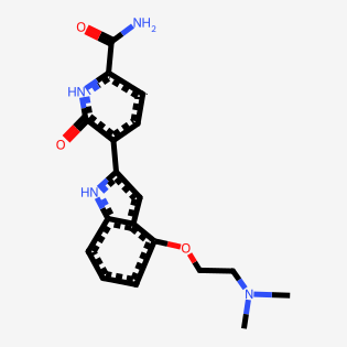 CN(C)CCOc1cccc2[nH]c(-c3c[c]c(C(N)=O)[nH]c3=O)cc12